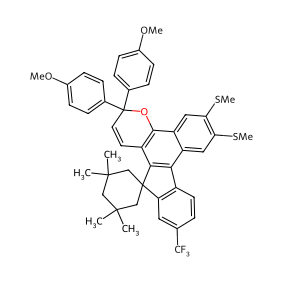 COc1ccc(C2(c3ccc(OC)cc3)C=Cc3c4c(c5cc(SC)c(SC)cc5c3O2)-c2ccc(C(F)(F)F)cc2C42CC(C)(C)CC(C)(C)C2)cc1